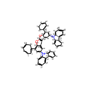 C1=CC=C(c2cc(-n3c4ccccc4c4ccccc43)cc3c2oc2oc4c(C5=CC=CCC5)cc(-n5c6ccccc6c6ccccc65)cc4c23)CC=C1